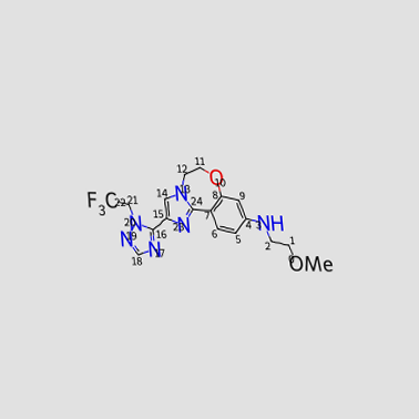 COCCNc1ccc2c(c1)OCCn1cc(-c3ncnn3CC(F)(F)F)nc1-2